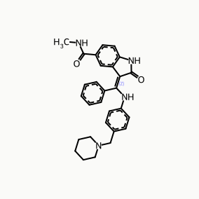 CNC(=O)c1ccc2c(c1)/C(=C(/Nc1ccc(CN3CCCCC3)cc1)c1ccccc1)C(=O)N2